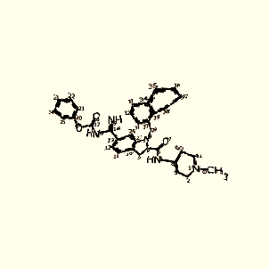 CN1CCC(NC(=O)C2Cc3ccc(C(=N)NC(=O)Oc4ccccc4)cc3N2Cc2cccc3ccccc23)CC1